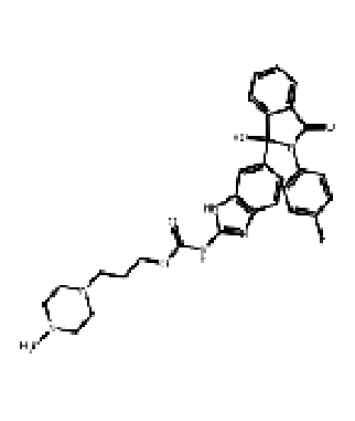 CN1CCN(CCCOC(=O)Nc2nc3ccc(C4(O)c5ccccc5C(=O)N4c4ccc(F)cc4)cc3[nH]2)CC1